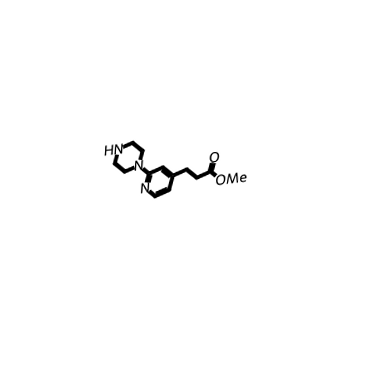 COC(=O)CCc1ccnc(N2CCNCC2)c1